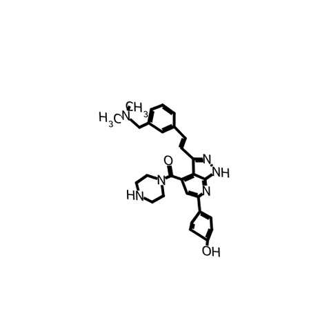 CN(C)Cc1cccc(C=Cc2n[nH]c3nc(-c4ccc(O)cc4)cc(C(=O)N4CCNCC4)c23)c1